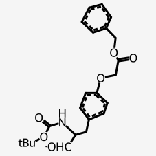 CC(C)(C)OC(=O)NC([C]=O)Cc1ccc(OCC(=O)OCc2ccccc2)cc1